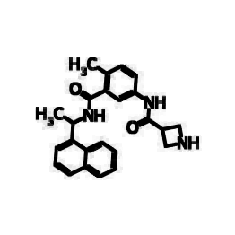 Cc1ccc(NC(=O)C2CNC2)cc1C(=O)NC(C)c1cccc2ccccc12